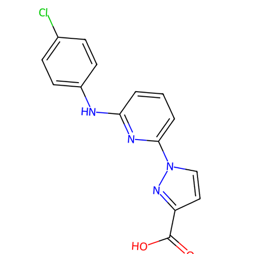 O=C(O)c1ccn(-c2cccc(Nc3ccc(Cl)cc3)n2)n1